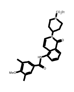 CCOC(=O)N1CCC(n2ccc3c(NC(=O)c4cc(C)c(OC)c(C)c4)cccc3c2=O)CC1